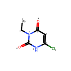 CC(C)Cn1c(=O)cc(Cl)[nH]c1=O